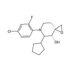 O[C@@H]1C(C2CCCC2)N(c2ccc(Cl)cc2F)CC[C@@]12CO2